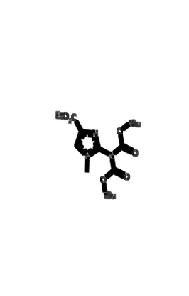 CCOC(=O)c1cn(C)c(N(C(=O)OC(C)(C)C)C(=O)OC(C)(C)C)n1